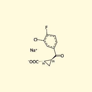 O=C([O-])[C@H]1C[C@@H]1C(=O)c1ccc(F)c(Cl)c1.[Na+]